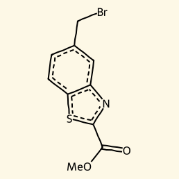 COC(=O)c1nc2cc(CBr)ccc2s1